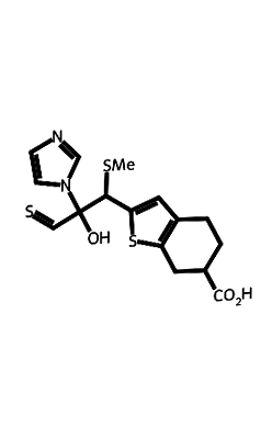 CSC(c1cc2c(s1)CC(C(=O)O)CC2)C(O)(C=S)n1ccnc1